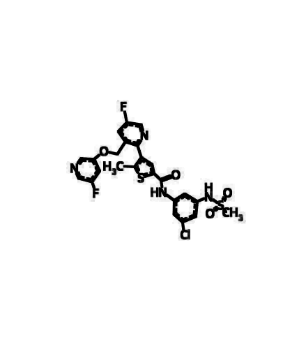 Cc1sc(C(=O)Nc2cc(Cl)cc(NS(C)(=O)=O)c2)cc1-c1ncc(F)cc1COc1cncc(F)c1